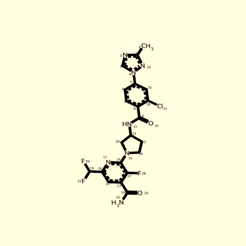 Cc1ncn(-c2ccc(C(=O)NC3CCN(c4nc(C(F)F)cc(C(N)=O)c4F)C3)c(Cl)c2)n1